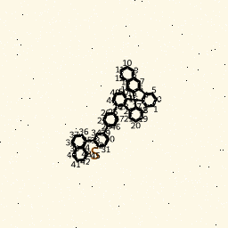 c1ccc2c(c1)-c1cc3ccccc3cc1C21c2ccccc2-c2c(-c3ccc(-c4ccc5c(c4)-c4cccc6cccc(c46)S5)cc3)cccc21